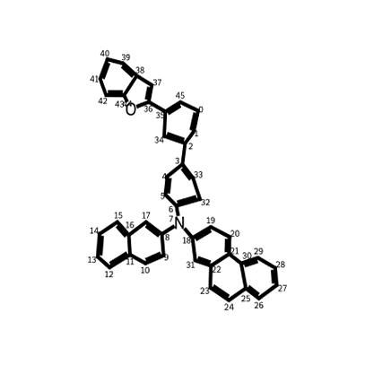 c1cc(-c2ccc(N(c3ccc4ccccc4c3)c3ccc4c(ccc5ccccc54)c3)cc2)cc(-c2cc3ccccc3o2)c1